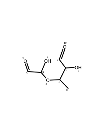 CC(OC(O)C=O)C(O)C=O